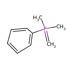 C=P(C)(C)c1ccccc1